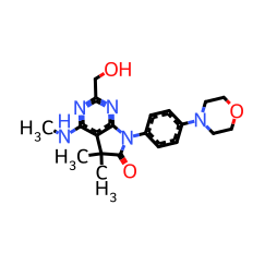 CNc1nc(CO)nc2c1C(C)(C)C(=O)N2c1ccc(N2CCOCC2)cc1